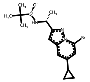 C[C@@H](N[S@+]([O-])C(C)(C)C)c1cc2cc(C3CC3)cc(Br)n2n1